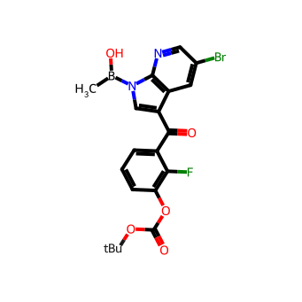 CB(O)n1cc(C(=O)c2cccc(OC(=O)OC(C)(C)C)c2F)c2cc(Br)cnc21